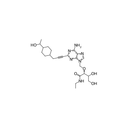 CCNC(=O)[C@@H](OCn1cnc2c(N)nc(C#CCC3CCC(C(C)O)CC3)nc21)C(O)CO